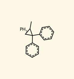 CC1CC1(c1ccccc1)c1ccccc1.P